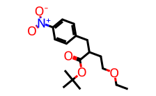 CCOCCC(Cc1ccc([N+](=O)[O-])cc1)C(=O)OC(C)(C)C